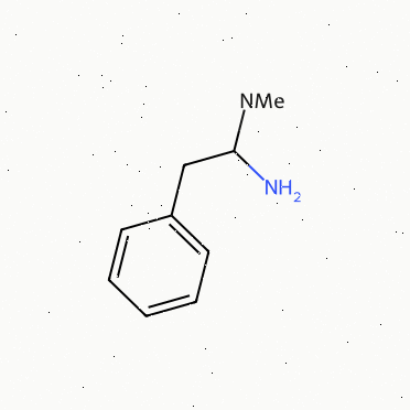 CNC(N)Cc1ccccc1